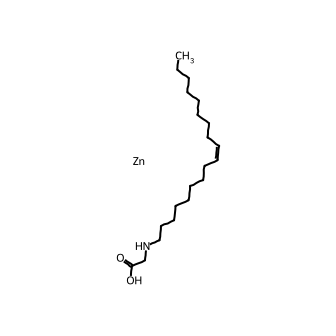 CCCCCCCC/C=C\CCCCCCCCNCC(=O)O.[Zn]